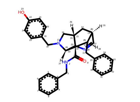 O=C(NCc1ccccc1)[C@]12N=C[C@@H]3C[C@H]1CN(Cc1ccc(O)cc1)[C@H]2[C@@H]3Cc1ccccc1